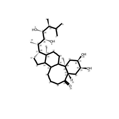 CC(C)[C@H](C)[C@@H](O)[C@H](O)[C@@H](C)[C@H]1CCC2C3CCCC(=O)[C@H]4C[C@H](O)[C@H](O)C[C@]4(C)C3CC[C@@]21C